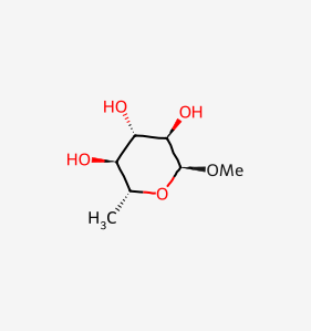 CO[C@H]1O[C@H](C)[C@@H](O)[C@H](O)[C@H]1O